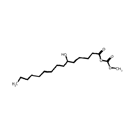 CCCCCCCCCC(O)CCCCC(=O)OC(=O)OC